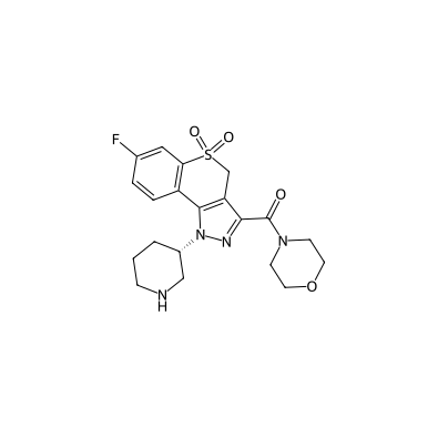 O=C(c1nn([C@H]2CCCNC2)c2c1CS(=O)(=O)c1cc(F)ccc1-2)N1CCOCC1